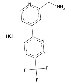 Cl.NCc1cc(-c2ccc(C(F)(F)F)nn2)ccn1